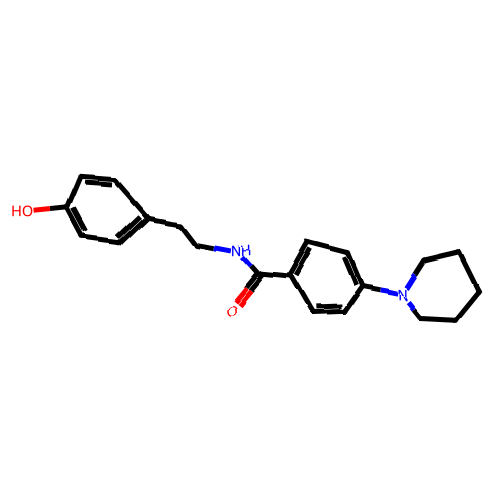 O=C(NCCc1ccc(O)cc1)c1ccc(N2CCCCC2)cc1